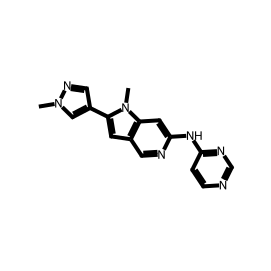 Cn1cc(-c2cc3cnc(Nc4ccncn4)cc3n2C)cn1